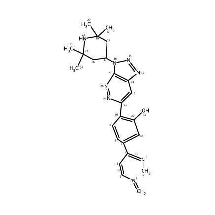 C=N/C=C\C(=N/C)c1ccc(-c2cc3nnn(C4CC(C)(C)NC(C)(C)C4)c3nn2)c(O)c1